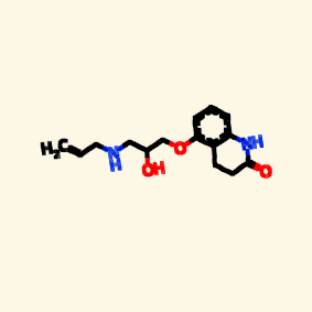 C=CCNCC(O)COc1cccc2c1CCC(=O)N2